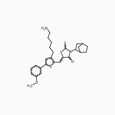 COc1cccc(-c2cc(CCCCCN)c(/C=C3\SC(=S)N(C4CC5CCC4C5)C3=O)s2)c1